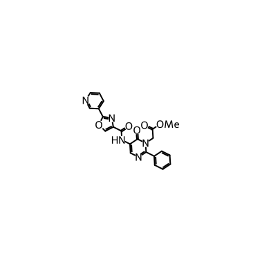 COC(=O)Cn1c(-c2ccccc2)ncc(NC(=O)c2coc(-c3cccnc3)n2)c1=O